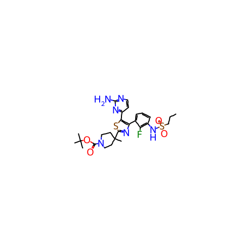 CCCS(=O)(=O)Nc1cccc(-c2nc(C3(C)CCN(C(=O)OC(C)(C)C)CC3)sc2-c2ccnc(N)n2)c1F